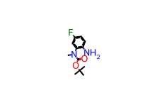 CN(C(=O)OC(C)(C)C)c1cc(F)ccc1N